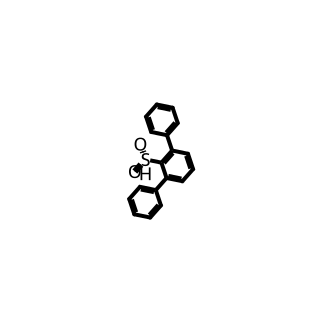 O=[SH](=O)c1c(-c2ccccc2)cccc1-c1ccccc1